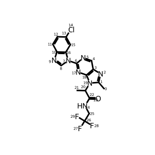 Cc1nc2cnc(-n3cnc4ccc(Cl)cc43)nc2n1C(C)C(=O)NCC(F)(F)F